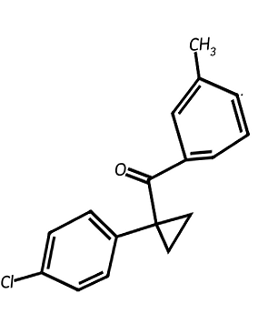 Cc1[c]ccc(C(=O)C2(c3ccc(Cl)cc3)CC2)c1